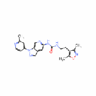 Cc1cc(-n2ncc3cc(NC(=O)NCCc4c(C)noc4C)ncc32)ccn1